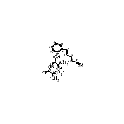 C=C(C)C(=O)O.C=C(C)C(=O)O.N#CC=CC=Cc1ccccc1